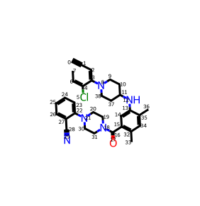 C#C/C=C(\C(Cl)=C/C)N1CCC(Nc2cc(C(=O)N3CCN(c4ccccc4C#N)CC3)c(C)cc2C)CC1